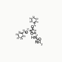 NC(=O)NC[C@H]1C[C@H](OCc2ccccc2)[C@@H](COCc2ccccc2)O1